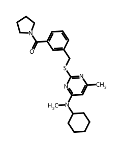 Cc1cc(N(C)C2CCCCC2)nc(SCc2cccc(C(=O)N3CCCC3)c2)n1